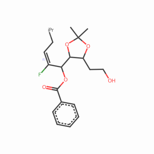 CC(C)C/C=C(/F)C(OC(=O)c1ccccc1)C1OC(C)(C)OC1CCO